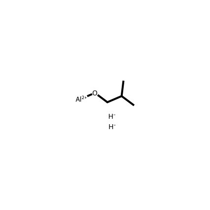 CC(C)C[O][Al+2].[H-].[H-]